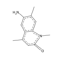 Cc1cc2c(cc1N)c(C)cc(=O)n2C